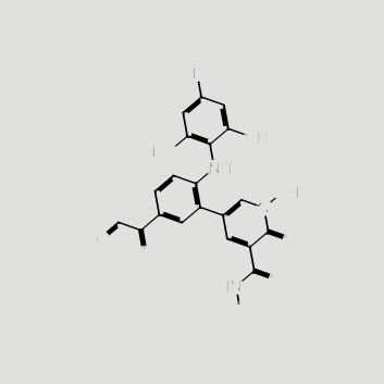 C=CC(=O)c1ccc(Nc2c(C)cc(F)cc2C)c(-c2cc(C(=O)NCC)c(=O)n(C)c2)c1